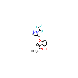 O=C(O)C(O)C1(c2ccccc2OCc2ccnn2C(F)C(F)F)CC1